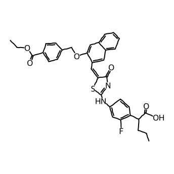 CCCC(C(=O)O)c1ccc(NC2=NC(=O)C(=Cc3cc4ccccc4cc3OCc3ccc(C(=O)OCC)cc3)S2)cc1F